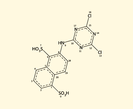 O=S(=O)(O)c1cccc2c(S(=O)(=O)O)c(Nc3nc(Cl)nc(Cl)n3)ccc12